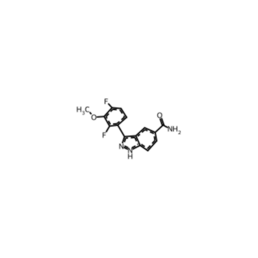 COc1c(F)ccc(-c2n[nH]c3ccc(C(N)=O)cc23)c1F